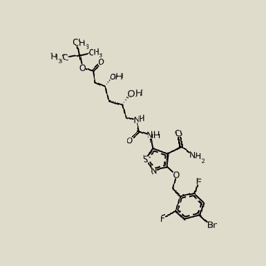 CC(C)(C)OC(=O)C[C@H](O)C[C@H](O)CNC(=O)Nc1snc(OCc2c(F)cc(Br)cc2F)c1C(N)=O